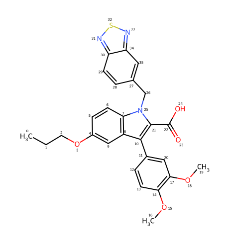 CCCOc1ccc2c(c1)c(-c1ccc(OC)c(OC)c1)c(C(=O)O)n2Cc1ccc2nsnc2c1